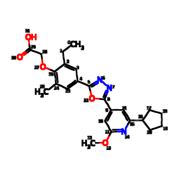 CCc1cc(-c2nnc(-c3cc(OC)nc(C4CCCC4)c3)o2)cc(C)c1OCC(=O)O